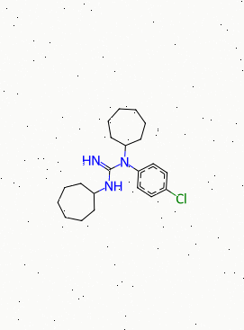 N=C(NC1CCCCCC1)N(c1ccc(Cl)cc1)C1CCCCCC1